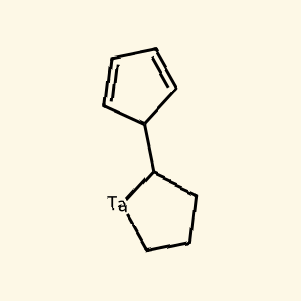 C1=CC([CH]2CC[CH2][Ta]2)C=C1